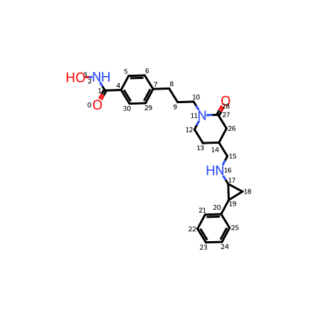 O=C(NO)c1ccc(CCCN2CCC(CNC3CC3c3ccccc3)CC2=O)cc1